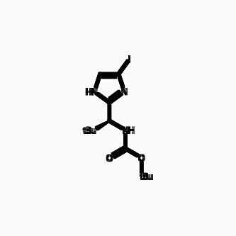 CC(C)(C)OC(=O)N[C@H](c1nc(I)c[nH]1)C(C)(C)C